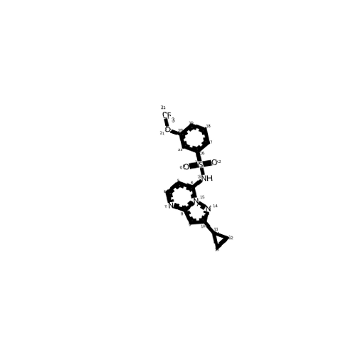 O=S(=O)(Nc1ccnc2cc(C3CC3)nn12)c1cccc(OC(F)(F)F)c1